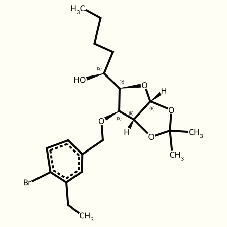 CCCC[C@H](O)[C@H]1O[C@@H]2OC(C)(C)O[C@@H]2[C@H]1OCc1ccc(Br)c(CC)c1